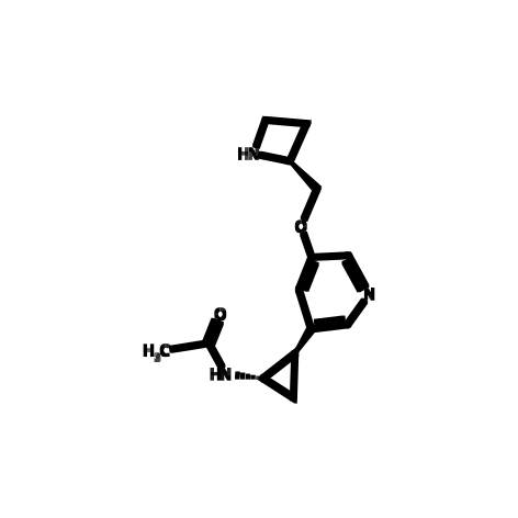 CC(=O)N[C@H]1C[C@@H]1c1cncc(OC[C@@H]2CCN2)c1